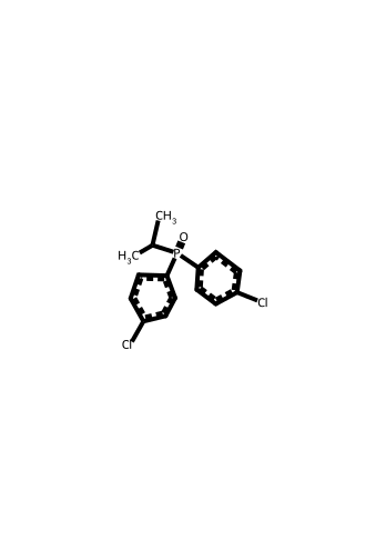 CC(C)P(=O)(c1ccc(Cl)cc1)c1ccc(Cl)cc1